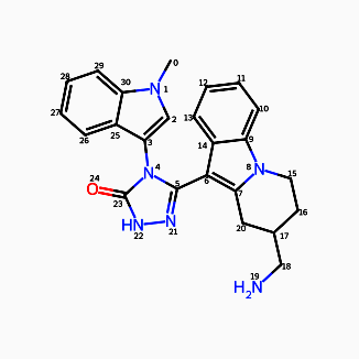 Cn1cc(-n2c(-c3c4n(c5ccccc35)CCC(CN)C4)n[nH]c2=O)c2ccccc21